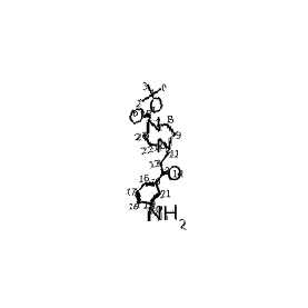 CC(C)(C)OC(=O)N1CCN(CCC(=O)c2cccc(N)c2)CC1